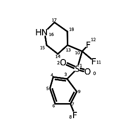 O=S(=O)(c1cccc(F)c1)C(F)(F)C1CCNCC1